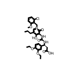 CCCc1cn(Cc2c(Cl)cccc2OC)c(=O)c(NC(=O)N[C@@H](CC(=O)O)c2ccc(OCC)c(OCC)c2)c1O